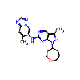 Cc1cc2ncnn2cc1Nc1ncc2c(C)nn(C3CCCOCC3)c2n1